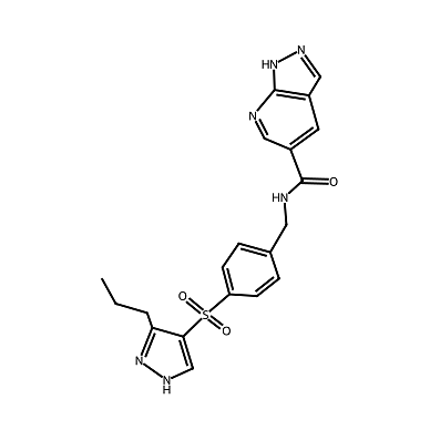 CCCc1n[nH]cc1S(=O)(=O)c1ccc(CNC(=O)c2cnc3[nH]ncc3c2)cc1